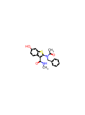 CNC(=O)c1c(N(Cc2ccccc2)C(C)=O)sc2cc(O)ccc12